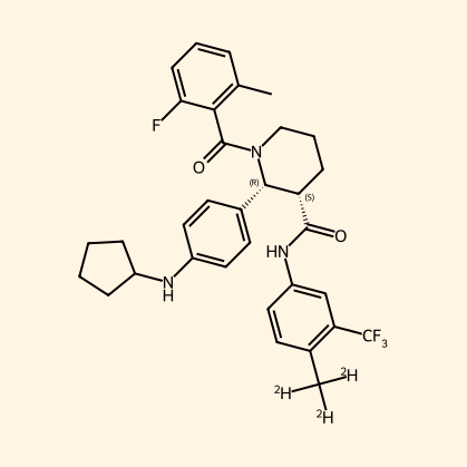 [2H]C([2H])([2H])c1ccc(NC(=O)[C@H]2CCCN(C(=O)c3c(C)cccc3F)[C@H]2c2ccc(NC3CCCC3)cc2)cc1C(F)(F)F